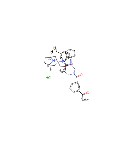 COC(=O)c1cccc(C(=O)N2CCC(CCN3[C@@H]4CC[C@H]3CC(n3c(C)nc5ccccc53)C4)(c3cccc(C)c3)CC2)c1.Cl